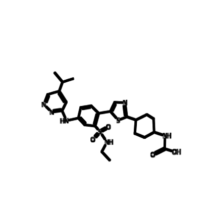 CCNS(=O)(=O)c1cc(Nc2cc(C(C)C)cnn2)ccc1-c1cnc(C2CCC(NC(=O)O)CC2)s1